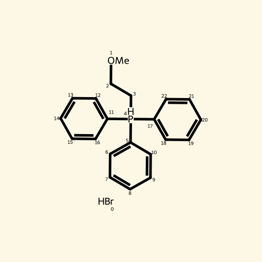 Br.COCC[PH](c1ccccc1)(c1ccccc1)c1ccccc1